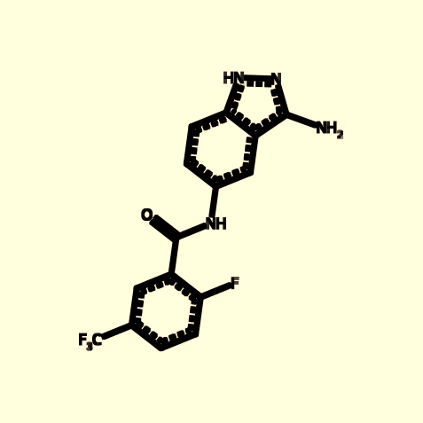 Nc1n[nH]c2ccc(NC(=O)c3cc(C(F)(F)F)ccc3F)cc12